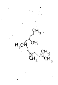 CCCC(O)CN(C)CCN(C)CCN(C)C